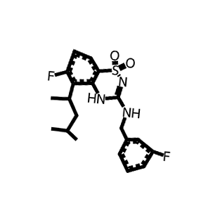 CC(C)CC(C)c1c(F)ccc2c1NC(NCc1cccc(F)c1)=NS2(=O)=O